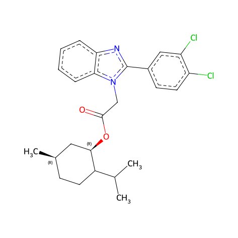 CC(C)C1CC[C@@H](C)C[C@H]1OC(=O)Cn1c(-c2ccc(Cl)c(Cl)c2)nc2ccccc21